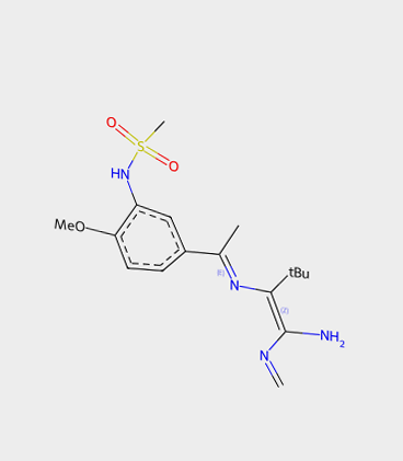 C=N/C(N)=C(\N=C(/C)c1ccc(OC)c(NS(C)(=O)=O)c1)C(C)(C)C